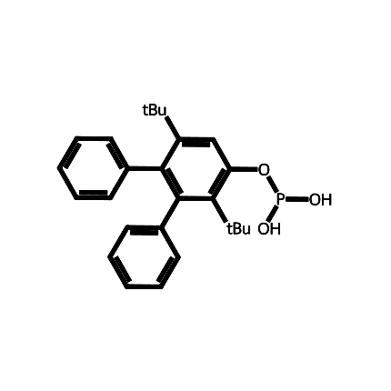 CC(C)(C)c1cc(OP(O)O)c(C(C)(C)C)c(-c2ccccc2)c1-c1ccccc1